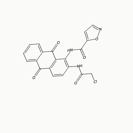 O=C(CCl)Nc1ccc2c(c1NC(=O)c1ccno1)C(=O)c1ccccc1C2=O